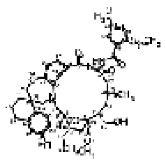 CC[C@H]1[C@@H](OC)[C@@H]2O[C@H]1CN1C[C@@]3(CCCc4cc(Cl)ccc43)COc3ccc(cc31)C(=O)N=S(=O)(NC(=O)c1cn(C)nc1OC)C[C@@H](C)C[C@@H]2CO